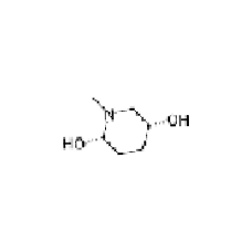 CN1C[C@H](O)CC[C@@H]1O